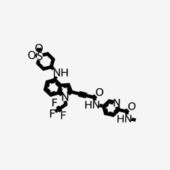 CNC(=O)c1ccc(NC(=O)C#Cc2cc3c(NC4CCS(=O)(=O)CC4)cccc3n2CC(F)(F)F)cn1